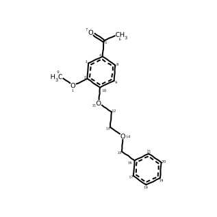 COc1cc(C(C)=O)ccc1OCCOCc1ccccc1